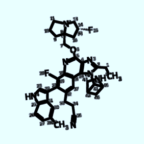 CCc1nc2c(OC[C@@]34CCCN3C[C@H](F)C4)nc3c(F)c(-c4c[nH]c5ccc(C)cc45)c(CCC#N)cc3c2n1C1C2CNC1C2